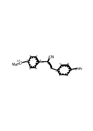 CCCc1ccc(/C=C(\C#N)c2ccc(OC)cc2)cc1